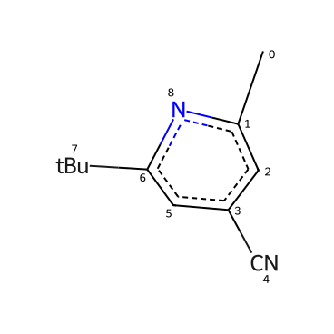 Cc1cc(C#N)cc(C(C)(C)C)n1